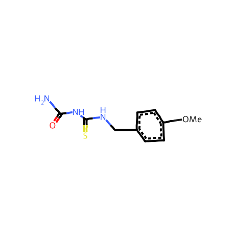 COc1ccc(CNC(=S)NC(N)=O)cc1